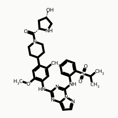 COc1cc(C2CCN(C(=O)[C@@H]3C[C@H](O)CN3)CC2)c(C)cc1Nc1nc(Nc2ccccc2S(=O)(=O)C(C)C)n2nccc2n1